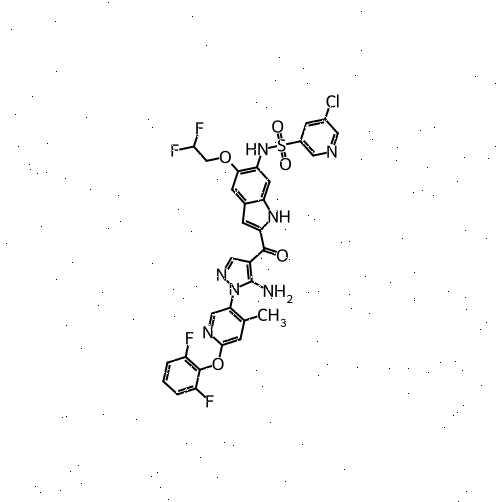 Cc1cc(Oc2c(F)cccc2F)ncc1-n1ncc(C(=O)c2cc3cc(OCC(F)F)c(NS(=O)(=O)c4cncc(Cl)c4)cc3[nH]2)c1N